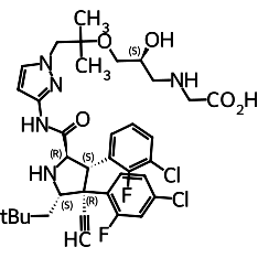 C#C[C@]1(c2ccc(Cl)cc2F)[C@H](CC(C)(C)C)N[C@@H](C(=O)Nc2ccn(CC(C)(C)OC[C@@H](O)CNCC(=O)O)n2)[C@@H]1c1cccc(Cl)c1F